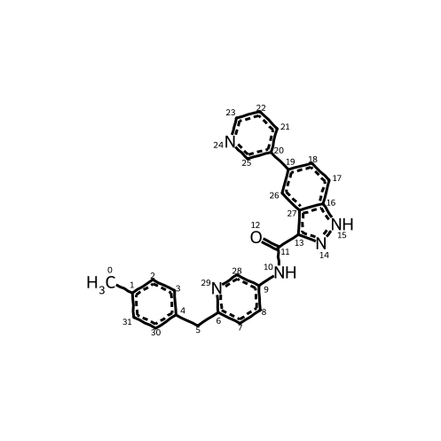 Cc1ccc(Cc2ccc(NC(=O)c3n[nH]c4ccc(-c5cccnc5)cc34)cn2)cc1